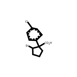 CCC1CCCC1(C(=O)O)c1ccc(Cl)cc1